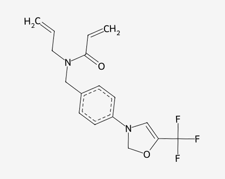 C=CCN(Cc1ccc(N2C=C(C(F)(F)F)OC2)cc1)C(=O)C=C